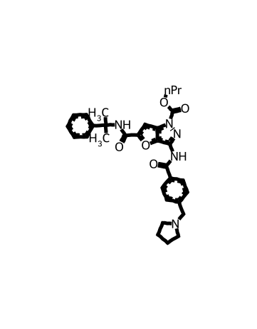 CCCOC(=O)n1nc(NC(=O)c2ccc(CN3CCCC3)cc2)c2oc(C(=O)NC(C)(C)c3ccccc3)cc21